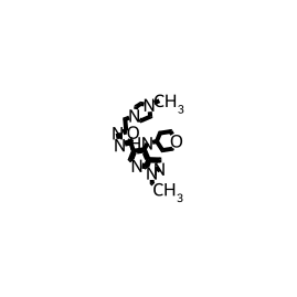 CCn1ncc2c(NC3CCOCC3)c(-c3nnc(CN4CCN(C)CC4)o3)cnc21